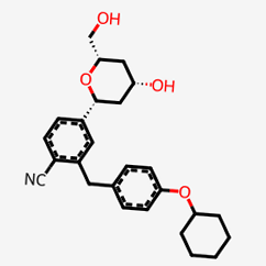 N#Cc1ccc([C@H]2C[C@@H](O)C[C@@H](CO)O2)cc1Cc1ccc(OC2CCCCC2)cc1